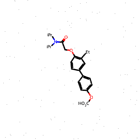 CCc1cc(-c2ccc(OC(=O)O)cc2)ccc1OCC(=O)N(C(C)C)C(C)C